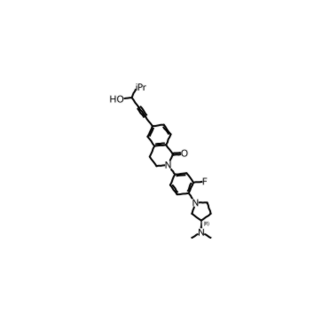 CC(C)C(O)C#Cc1ccc2c(c1)CCN(c1ccc(N3CC[C@@H](N(C)C)C3)c(F)c1)C2=O